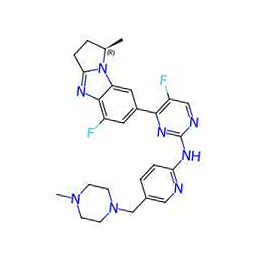 C[C@@H]1CCc2nc3c(F)cc(-c4nc(Nc5ccc(CN6CCN(C)CC6)cn5)ncc4F)cc3n21